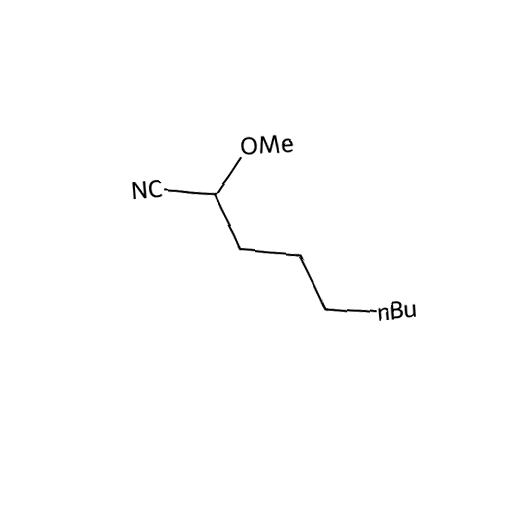 CCCCCCCC(C#N)OC